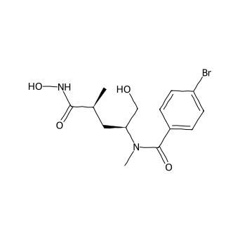 C[C@@H](C[C@@H](CO)N(C)C(=O)c1ccc(Br)cc1)C(=O)NO